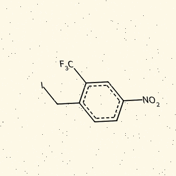 O=[N+]([O-])c1ccc(CI)c(C(F)(F)F)c1